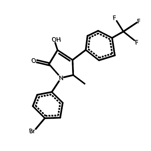 CC1C(c2ccc(C(F)(F)F)cc2)=C(O)C(=O)N1c1ccc(Br)cc1